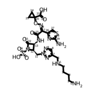 NCCCCNCc1cnn(C[C@@H]2[C@H](NC(=O)/C(=N\OC3(C(=O)O)CC3)c3csc(N)n3)C(=O)N2S(=O)(=O)O)n1